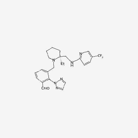 CC[C@@]1(CNc2ccc(C(F)(F)F)cn2)CCCCN1Cc1cccc(C=O)c1-n1nccn1